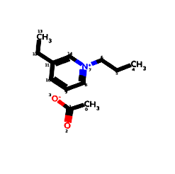 CC(=O)[O-].CCC[n+]1cccc(CC)c1